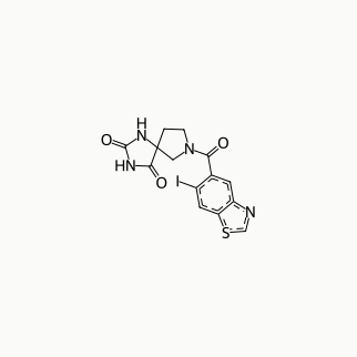 O=C1NC(=O)C2(CCN(C(=O)c3cc4ncsc4cc3I)C2)N1